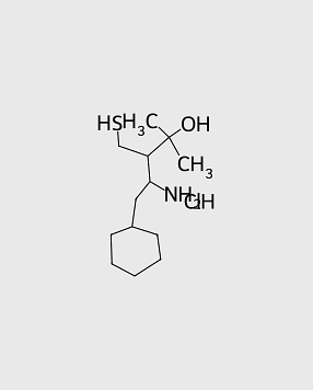 CC(C)(O)C(CS)C(N)CC1CCCCC1.Cl